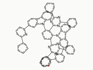 c1ccc(-c2cccc(-c3ccc4c5ccccc5n(-c5ccc(-c6nc(-c7ccccc7)nc(-c7ccccc7)n6)c(-n6c7ccccc7c7ccc(-c8cccc(-c9ccccc9)n8)cc76)c5-c5nc(-c6ccccc6)nc(-c6ccccc6)n5)c4c3)n2)cc1